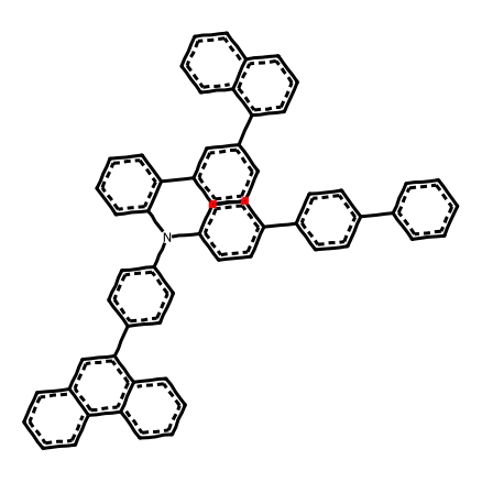 c1ccc(-c2ccc(-c3ccc(N(c4ccc(-c5cc6ccccc6c6ccccc56)cc4)c4ccccc4-c4cccc(-c5cccc6ccccc56)c4)cc3)cc2)cc1